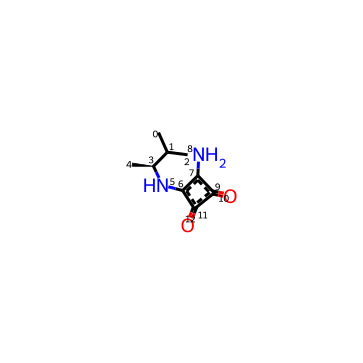 CC(C)[C@H](C)Nc1c(N)c(=O)c1=O